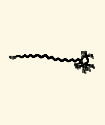 CCCCCCCCCCCCCCCCCCCC[Si]1(C)OC(C)(C)C[Si](C)(C)[Si]1(C)C